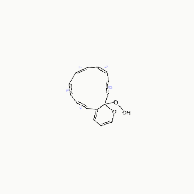 OOC12\C=C/C=C\C=C/C=C\C=C/C1=CC=CO2